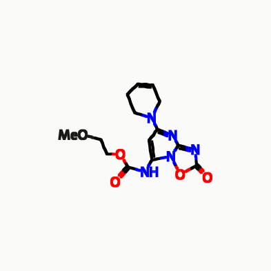 COCCOC(=O)Nc1cc(N2CC=CCC2)nc2nc(=O)on12